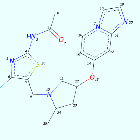 CC(=O)Nc1nc(F)c(CN2CC(Oc3ccn4ccnc4c3)CC2C)s1